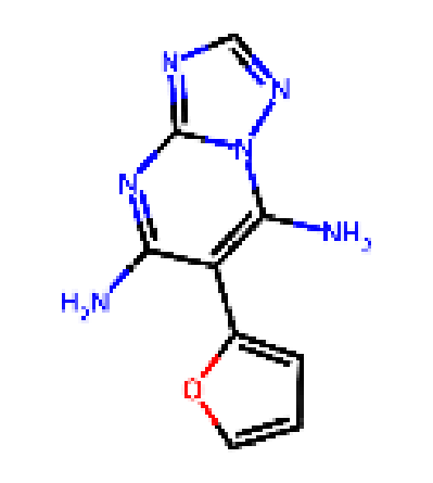 Nc1nc2ncnn2c(N)c1-c1ccco1